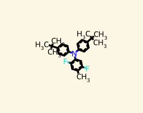 Cc1cc(F)c(N(c2ccc(C(C)(C)C)cc2)c2ccc(C(C)(C)C)cc2)cc1F